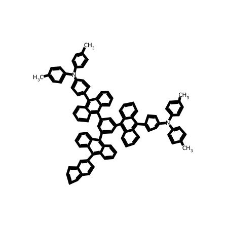 Cc1ccc(N(c2ccc(C)cc2)c2ccc(-c3c4ccccc4c(-c4cc(-c5c6ccccc6c(-c6ccc(N(c7ccc(C)cc7)c7ccc(C)cc7)cc6)c6ccccc56)cc(-c5c6ccccc6c(-c6ccc7ccccc7c6)c6ccccc56)c4)c4ccccc34)cc2)cc1